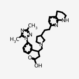 Cc1nc(C)n(-c2cccc(C(CC(=O)O)CN3CCC(CCc4ccc5c(n4)NCCC5)C3)c2)n1